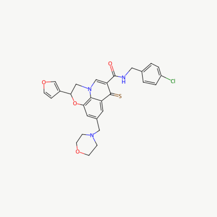 O=C(NCc1ccc(Cl)cc1)c1cn2c3c(cc(CN4CCOCC4)cc3c1=S)OC(c1ccoc1)C2